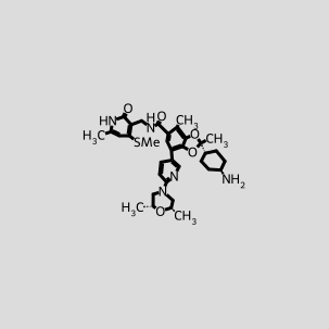 CSc1cc(C)[nH]c(=O)c1CNC(=O)c1cc(-c2ccc(N3C[C@@H](C)O[C@@H](C)C3)nc2)c2c(c1C)OC(C)([C@H]1CC[C@H](N)CC1)O2